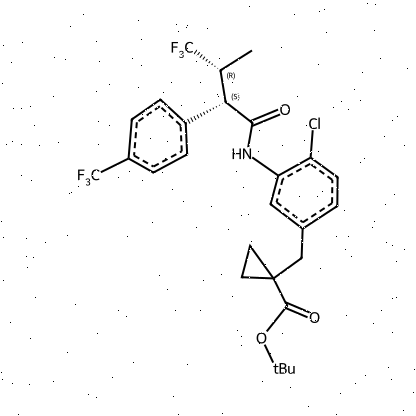 C[C@H]([C@H](C(=O)Nc1cc(CC2(C(=O)OC(C)(C)C)CC2)ccc1Cl)c1ccc(C(F)(F)F)cc1)C(F)(F)F